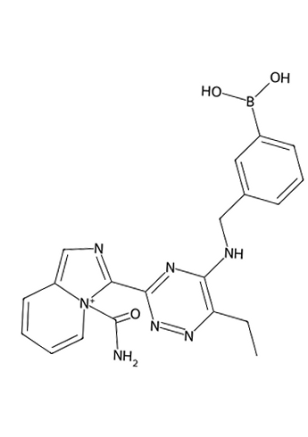 CCc1nnc(C2=NC=C3C=CC=C[N+]32C(N)=O)nc1NCc1cccc(B(O)O)c1